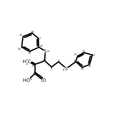 C=C(C(=O)O)C(CCSc1ccccc1)Sc1ccccc1